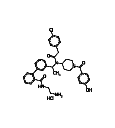 CC(c1cccc(-c2ccccc2C(=O)NCCN)c1)N(C(=O)Cc1ccc(Cl)cc1)C1CCN(C(=O)c2ccc(O)cc2)CC1.Cl